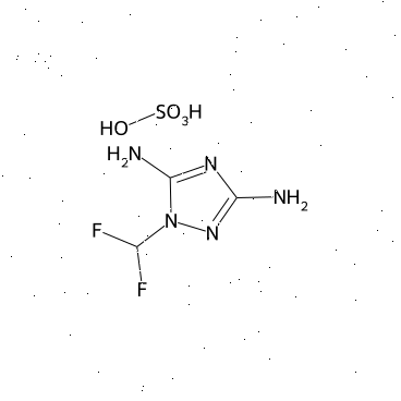 Nc1nc(N)n(C(F)F)n1.O=S(=O)(O)O